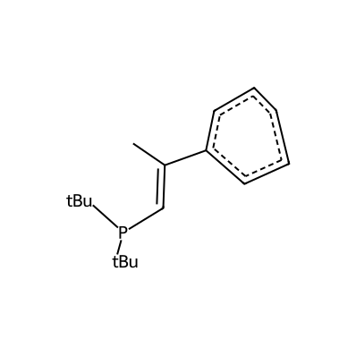 CC(=CP(C(C)(C)C)C(C)(C)C)c1ccccc1